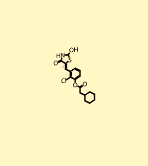 O=C(CC1CCCCC1)Oc1cccc(/C=C2\SC(O)NC2=O)c1Cl